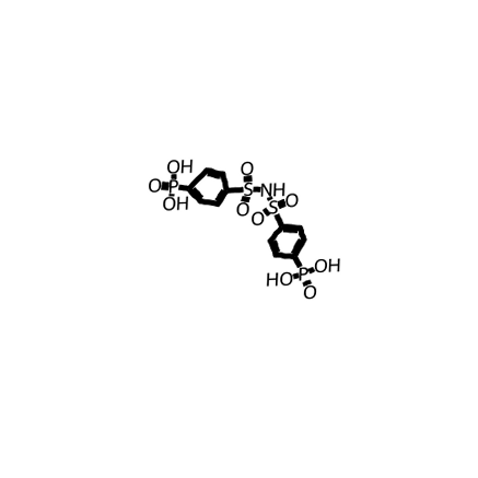 O=P(O)(O)c1ccc(S(=O)(=O)NS(=O)(=O)c2ccc(P(=O)(O)O)cc2)cc1